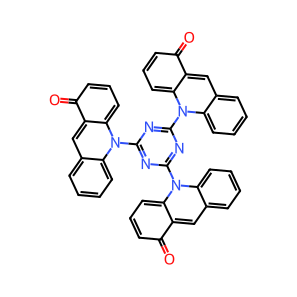 O=c1cccc2n(-c3nc(-n4c5cccc(=O)c-5cc5ccccc54)nc(-n4c5cccc(=O)c-5cc5ccccc54)n3)c3ccccc3cc1-2